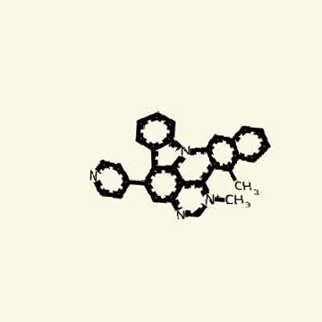 Cc1c2ccccc2cc2c1c1c3c(cc(-c4ccncc4)c4c5ccccc5n2c43)nc[n+]1C